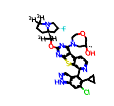 [2H]C1([2H])CC[C@@]2(C([2H])([2H])Oc3nc(N4CCOC[C@@](C)(O)C4)c4c(n3)sc3c(-c5c(C6CC6)c(Cl)cc6[nH]ncc56)nccc34)C[C@@H](F)CN12